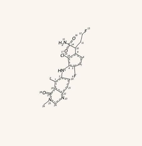 Cc1c(Nc2c(F)ccc(C(CCF)S(N)(=O)=O)c2Cl)ccc2ncn(C)c(=O)c12